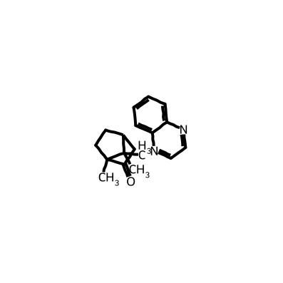 CC12CCC(CC1=O)C2(C)C.c1ccc2nccnc2c1